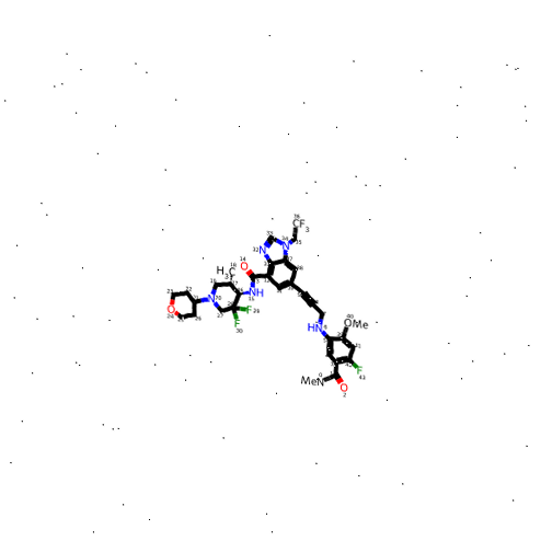 CNC(=O)c1cc(NCC#Cc2cc(C(=O)N[C@@H]3[C@@H](C)CN(C4CCOCC4)CC3(F)F)c3ncn(CC(F)(F)F)c3c2)c(OC)cc1F